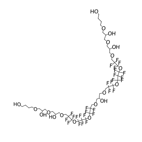 OCCCCOCC(O)COCC(O)COCC(F)(F)C(F)(F)OC(F)(F)C(F)(F)C(F)(F)OC(F)(F)C(F)(F)COCC(O)COCC(F)(F)C(F)(F)OC(F)(F)C(F)(F)C(F)(F)OC(F)(F)C(F)(F)COCC(O)COCC(O)COCCCCO